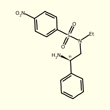 CCN(C[C@H](N)c1ccccc1)S(=O)(=O)c1ccc([N+](=O)[O-])cc1